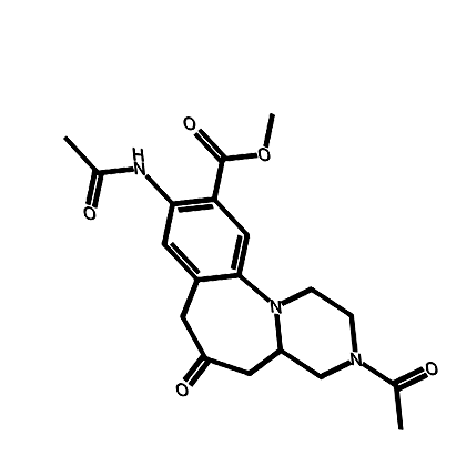 COC(=O)c1cc2c(cc1NC(C)=O)CC(=O)CC1CN(C(C)=O)CCN21